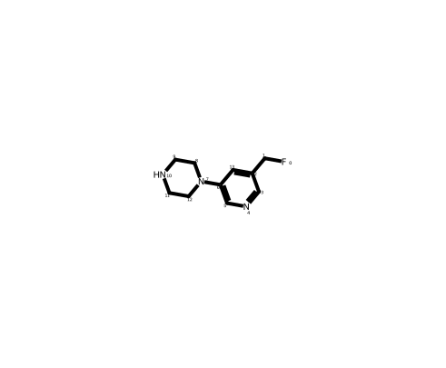 FCc1cncc(N2CCNCC2)c1